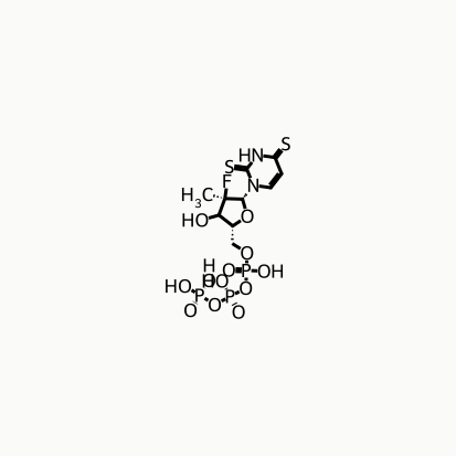 C[C@@]1(F)C(O)[C@@H](COP(=O)(O)OP(=O)(O)OP(=O)(O)O)O[C@H]1n1ccc(=S)[nH]c1=S